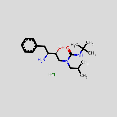 CC(C)CN(C[C@@H](O)[C@@H](N)Cc1ccccc1)C(=O)NC(C)(C)C.Cl